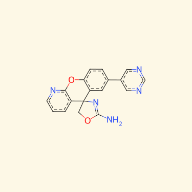 NC1=NC2(CO1)c1cc(-c3cncnc3)ccc1Oc1ncccc12